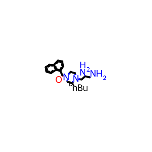 CCCC[C@H]1CN(C(=O)c2cccc3ccccc23)CCN1CC(N)CN